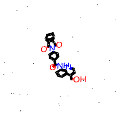 O=C(Nc1cccc2c(CO)ccnc12)c1ccc(N2C(=O)C3C4C=CC(C4)C3C2=O)cc1